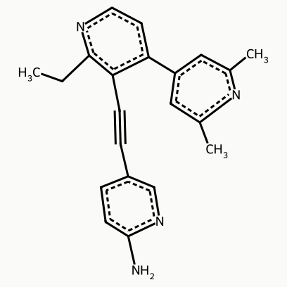 CCc1nccc(-c2cc(C)nc(C)c2)c1C#Cc1ccc(N)nc1